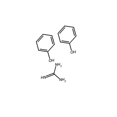 N=C(N)N.Oc1ccccc1.Oc1ccccc1